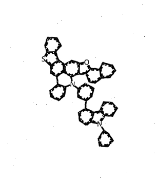 c1ccc(-n2c3ccccc3c3c(-c4cccc(N(c5ccccc5-c5ccc6c(c5)sc5ccccc56)c5cccc6oc7c8ccccc8ccc7c56)c4)cccc32)cc1